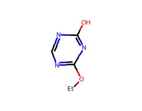 CCOc1ncnc(O)n1